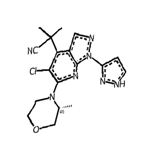 C[C@@H]1COCCN1c1nc2c(cnn2-c2cc[nH]n2)c(C(C)(C)C#N)c1Cl